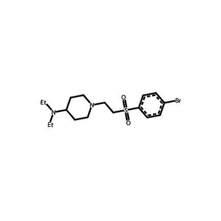 CCN(CC)C1CCN(CCS(=O)(=O)c2ccc(Br)cc2)CC1